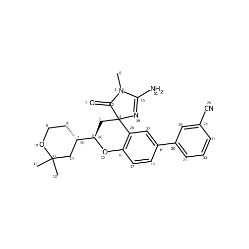 CN1C(=O)C2(C[C@H]([C@H]3CCOC(C)(C)C3)Oc3ccc(-c4cccc(C#N)c4)cc32)N=C1N